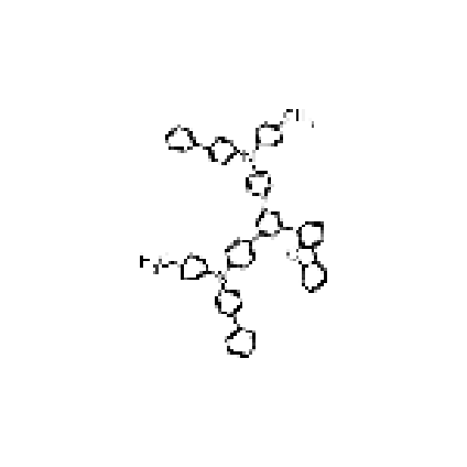 Cc1ccc(N(c2ccc(-c3ccccc3)cc2)c2ccc(-c3cc(-c4ccc(N(c5ccc(C)cc5)c5ccc(-c6ccccc6)cc5)cc4)cc(-c4cccc5c4oc4ccccc45)c3)cc2)cc1